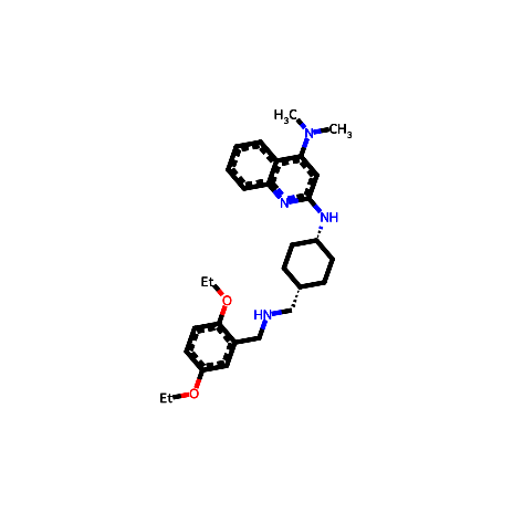 CCOc1ccc(OCC)c(CNC[C@H]2CC[C@@H](Nc3cc(N(C)C)c4ccccc4n3)CC2)c1